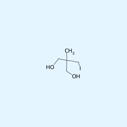 CC(CO)(CO)CI